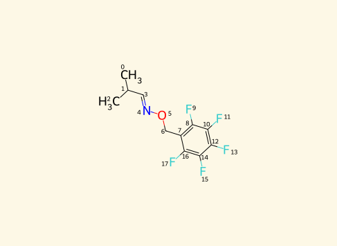 CC(C)C=NOCc1c(F)c(F)c(F)c(F)c1F